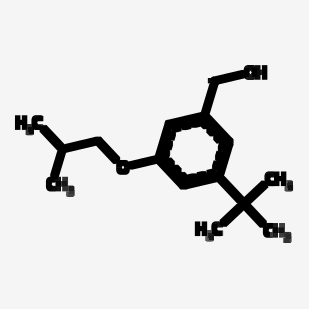 CC(C)COc1cc([CH]O)cc(C(C)(C)C)c1